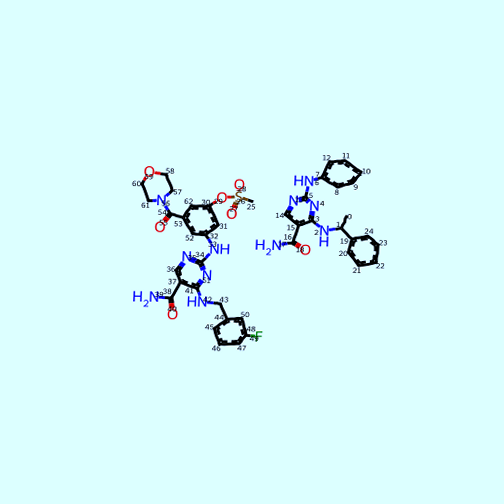 CC(Nc1nc(Nc2cc[c]cc2)ncc1C(N)=O)c1ccccc1.CS(=O)(=O)Oc1cc(Nc2ncc(C(N)=O)c(NCc3cccc(F)c3)n2)cc(C(=O)N2CCOCC2)c1